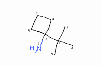 CC(C)(C)C1(N)CCC1